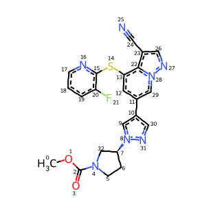 COC(=O)N1CC[C@H](n2cc(-c3cc(Sc4ncccc4F)c4c(C#N)cnn4c3)cn2)C1